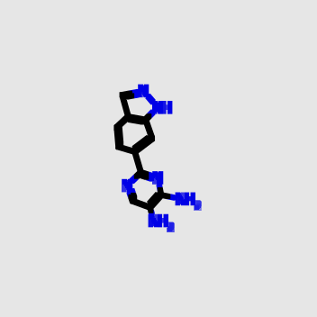 Nc1cnc(-c2ccc3cn[nH]c3c2)nc1N